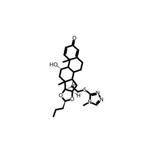 CCC[C@@H]1O[C@@H]2CC3C4CCC5=CC(=O)C=CC5(C)C4[C@@H](O)CC3(C)[C@]2(C(=O)CSc2nncn2C)O1